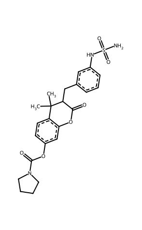 CC1(C)c2ccc(OC(=O)N3CCCC3)cc2OC(=O)C1Cc1cccc(NS(N)(=O)=O)c1